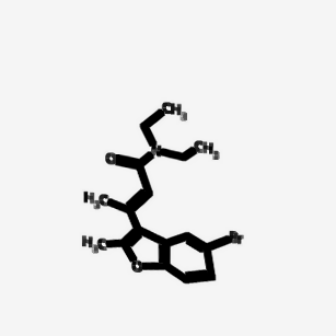 CCN(CC)C(=O)C=C(C)c1c(C)oc2ccc(Br)cc12